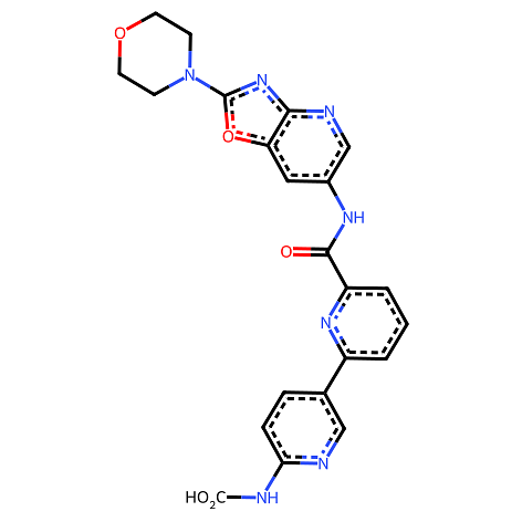 O=C(O)Nc1ccc(-c2cccc(C(=O)Nc3cnc4nc(N5CCOCC5)oc4c3)n2)cn1